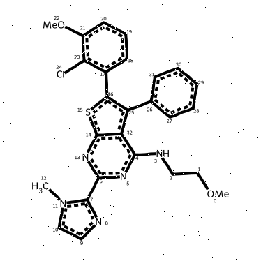 COCCNc1nc(-c2nccn2C)nc2sc(-c3cccc(OC)c3Cl)c(-c3ccccc3)c12